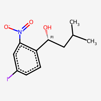 CC(C)C[C@@H](O)c1ccc(I)cc1[N+](=O)[O-]